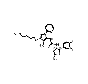 CCN1C[C@@H](NC(=O)Nc2c(C)c(OCCCCNC)nn2-c2ccccc2)[C@H](c2ccc(F)c(F)c2)O1